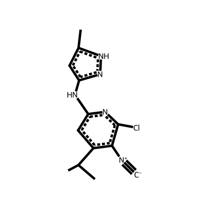 [C-]#[N+]c1c(C(C)C)cc(Nc2cc(C)[nH]n2)nc1Cl